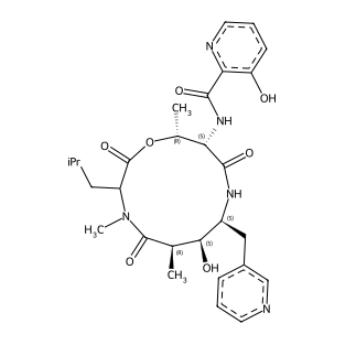 CC(C)CC1C(=O)O[C@H](C)[C@H](NC(=O)c2ncccc2O)C(=O)N[C@@H](Cc2cccnc2)[C@@H](O)[C@@H](C)C(=O)N1C